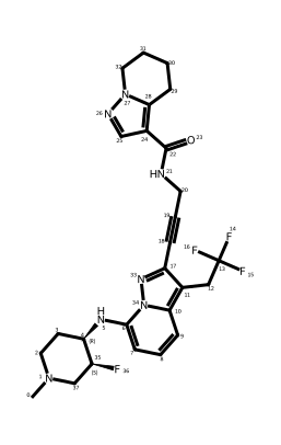 CN1CC[C@@H](Nc2cccc3c(CC(F)(F)F)c(C#CCNC(=O)c4cnn5c4CCCC5)nn23)[C@@H](F)C1